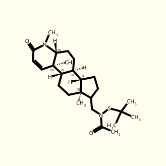 CC(=O)N(CC1CC[C@H]2[C@@H]3CC[C@H]4N(C)C(=O)C=C[C@]4(C)[C@H]3CC[C@]12C)SC(C)(C)C